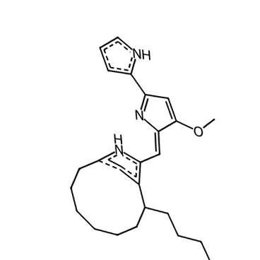 CCCCC1CCCCCCc2cc1c(/C=C1\N=C(c3ccc[nH]3)C=C1OC)[nH]2